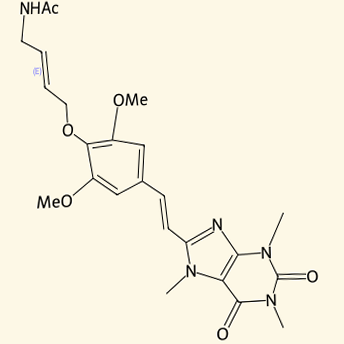 COc1cc(C=Cc2nc3c(c(=O)n(C)c(=O)n3C)n2C)cc(OC)c1OC/C=C/CNC(C)=O